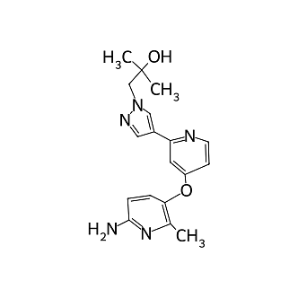 Cc1nc(N)ccc1Oc1ccnc(-c2cnn(CC(C)(C)O)c2)c1